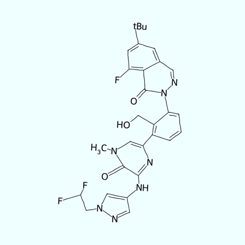 Cn1cc(-c2cccc(-n3ncc4cc(C(C)(C)C)cc(F)c4c3=O)c2CO)nc(Nc2cnn(CC(F)F)c2)c1=O